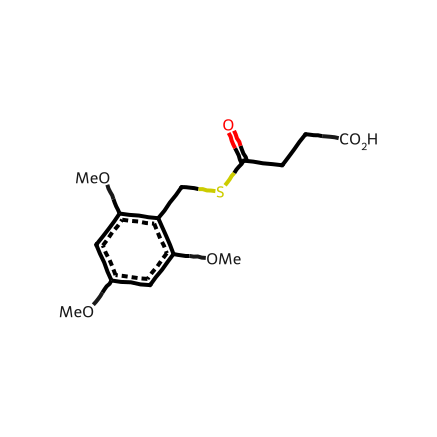 COc1cc(OC)c(CSC(=O)CCC(=O)O)c(OC)c1